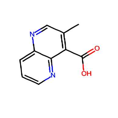 Cc1cnc2cccnc2c1C(=O)O